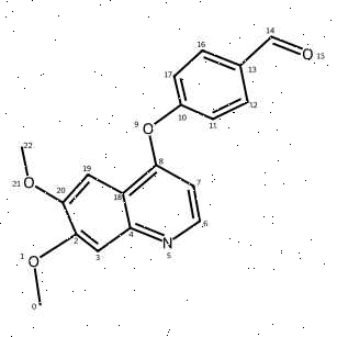 COc1cc2nccc(Oc3ccc(C=O)cc3)c2cc1OC